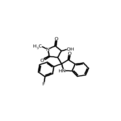 CN1C(=O)C(O)C(C2(c3cccc(F)c3)Nc3ccccc3C2=O)C1=O